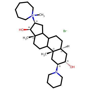 C[C@]12CCC3C(CC[C@H]4C[C@H](O)[C@@H](N5CCCCC5)C[C@]34C)C1C[C@H]([N+]1(C)CCCCCC1)[C@@H]2O.[Br-]